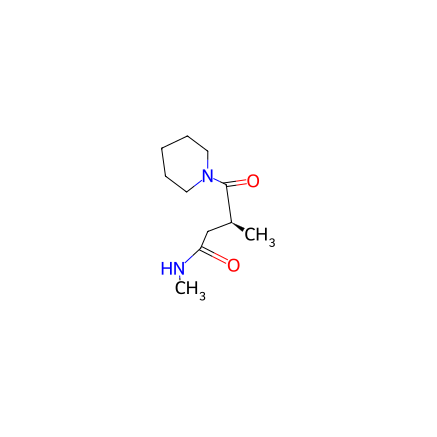 CNC(=O)C[C@H](C)C(=O)N1CCCCC1